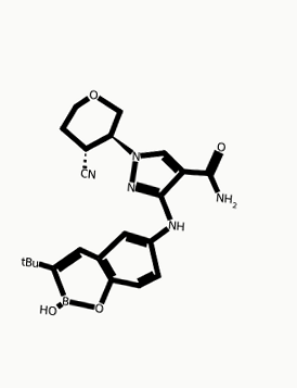 CC(C)(C)C1=Cc2cc(Nc3nn([C@@H]4COCC[C@H]4C#N)cc3C(N)=O)ccc2OB1O